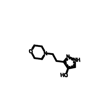 Oc1c[nH]nc1CCN1CCOCC1